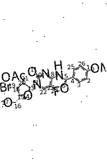 COc1ccc(C(=O)Nc2nc(=O)n([C@@H]3O[C@H](COC(C)=O)[C@H](Br)[C@H]3OC(C)=O)cc2F)cc1